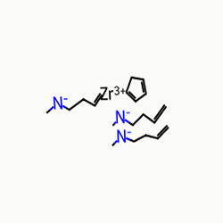 C=CCC[N-]C.C=CCC[N-]C.C=CCC[N-]C.[Zr+3][C]1=CC=CC1